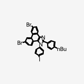 CCCCc1ccc(-c2nc3c4ccc(Br)cc4c4cc(Br)ccc4c3n2-c2ccc(I)cc2)cc1